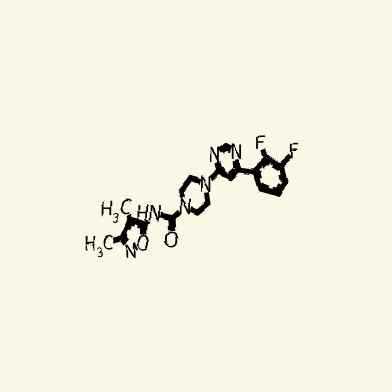 Cc1noc(NC(=O)N2CCN(c3cc(-c4cccc(F)c4F)ncn3)CC2)c1C